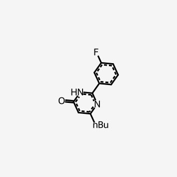 CCCCc1cc(=O)[nH]c(-c2cccc(F)c2)n1